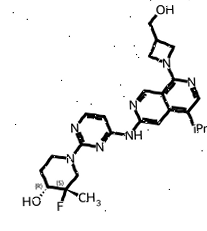 CC(C)c1cnc(N2CC(CO)C2)c2cnc(Nc3ccnc(N4CC[C@@H](O)[C@@](C)(F)C4)n3)cc12